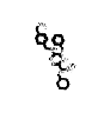 CCCN[C@H](CC1CCCCC1)C(=O)N[C@@H](Cc1ccccc1)C(=O)NCc1ccc(CN)cc1